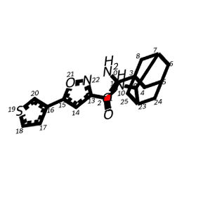 NC(=O)C12CC3CC(C1)C(NC(=O)c1cc(-c4ccsc4)on1)C(C3)C2